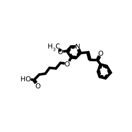 COc1cnc(/C=C/C(=O)c2ccccc2)cc1OCCCCCC(=O)O